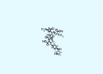 C[C@H](O/N=C(\C(=O)N[C@@H]1C(=O)N2C(C(=O)O)=C(C[n+]3ccc(N[C@@H]4CCNC4)cc3)CS[C@H]12)c1nc(N)sc1Cl)C(=O)O